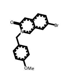 COc1ccc(Cn2cc3cc(Br)ccc3cc2=O)cc1